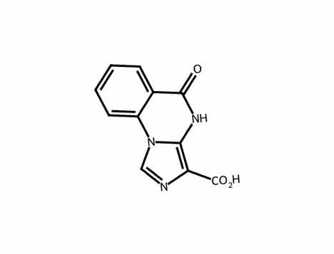 O=C(O)c1ncn2c1[nH]c(=O)c1ccccc12